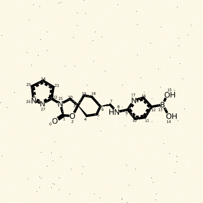 O=C1O[C@]2(CC[C@H](CNc3ccc(B(O)O)cn3)CC2)CN1c1cccnn1